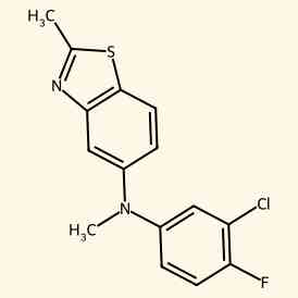 Cc1nc2cc(N(C)c3ccc(F)c(Cl)c3)ccc2s1